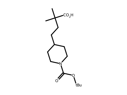 CC(C)(C)OC(=O)N1CCC(CCC(C)(C)C(=O)O)CC1